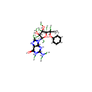 O=c1c2nc(F)n([C@]3(F)O[C@](F)(C(F)(Oc4ccccc4)[N+](=O)[O-])[C@@](F)(OF)[C@@]3(F)OF)c2nc(N(F)F)n1F